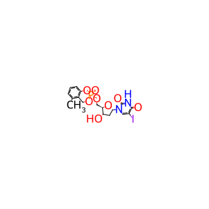 Cc1cccc2c1COP(=O)(OC[C@H]1O[C@@H](n3cc(I)c(=O)[nH]c3=O)C[C@H]1O)O2